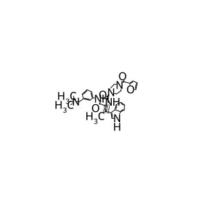 C[C@H](c1c[nH]c2ccccc12)[C@@H](NC(=O)N1CCN(C(=O)c2ccco2)CC1)C(=O)Nc1cccc(CN(C)C)c1